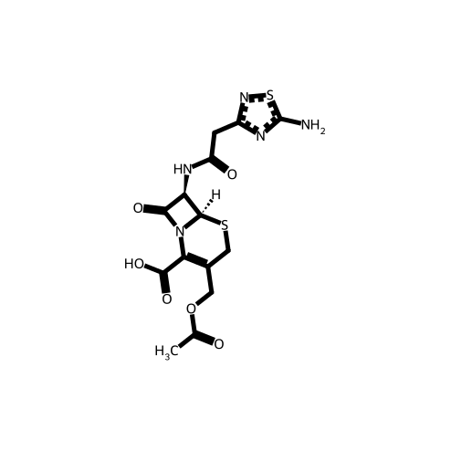 CC(=O)OCC1=C(C(=O)O)N2C(=O)[C@@H](NC(=O)Cc3nsc(N)n3)[C@H]2SC1